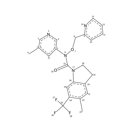 Cc1cncc(N(OCc2ccccn2)C(=O)N2CCc3cc(C)c(C(F)(F)F)cc32)c1